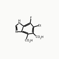 CCc1c(C(=O)O)c(C(=O)O)c2nc[nH]c2c1F